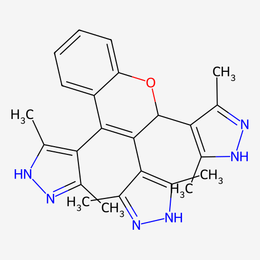 Cc1n[nH]c(C)c1C1=C(c2c(C)n[nH]c2C)C(c2c(C)n[nH]c2C)Oc2ccccc21